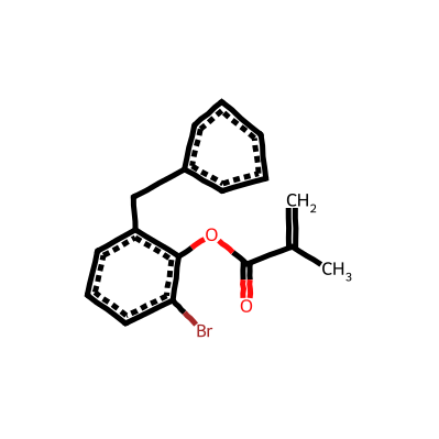 C=C(C)C(=O)Oc1c(Br)cccc1Cc1ccccc1